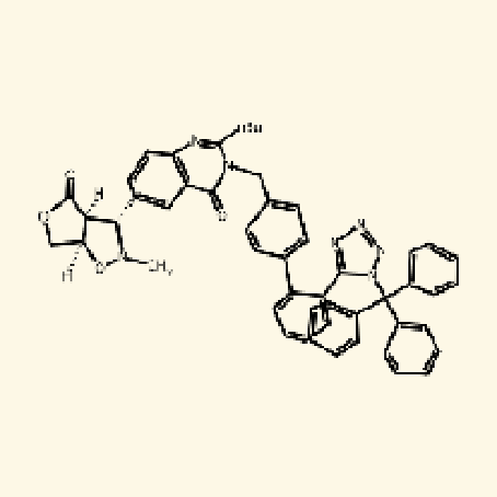 CCCCc1nc2ccc([C@H]3[C@@H]4C(=O)OC[C@@H]4ON3C)cc2c(=O)n1Cc1ccc(-c2ccccc2-c2nnnn2C(c2ccccc2)(c2ccccc2)c2ccccc2)cc1